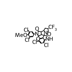 COc1c(Cl)cc(N2C(=O)C3C4CC(C(F)(F)F)CN4C4(C(=O)Nc5c(Cl)cc(Cl)cc54)C3C2=O)cc1Cl